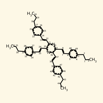 CCCc1ccc(/C=C/c2nc(/C=C/c3ccc(CCC)cc3)c(/C=C/c3ccc(CCC)cc3)nc2/C=C/c2ccc(CCC)cc2)cc1